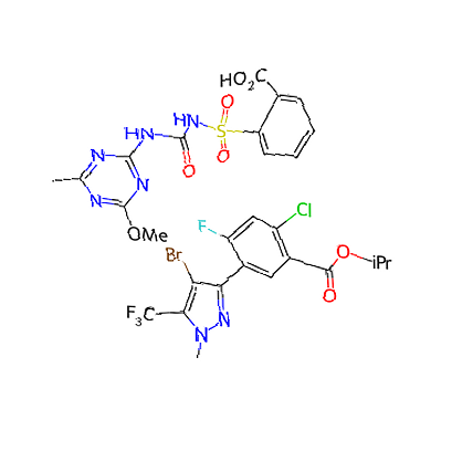 CC(C)OC(=O)c1cc(-c2nn(C)c(C(F)(F)F)c2Br)c(F)cc1Cl.COc1nc(C)nc(NC(=O)NS(=O)(=O)c2ccccc2C(=O)O)n1